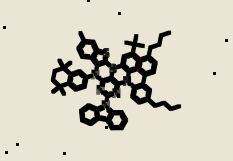 CCCCc1ccc(-c2cc(CCCC)ccc2N2c3ccc(C(C)(C)C)cc3B3c4sc5cc(C)ccc5c4N(c4ccc5c(c4)C(C)(C)CCC5(C)C)c4nc(-n5c6ccccc6c6ccccc65)nc2c43)cc1